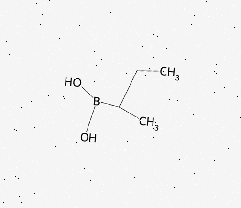 CCC(C)B(O)O